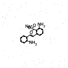 Nc1ccccc1/C=C/c1cccc(N)c1S(=O)(=O)[O-].[Na+]